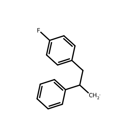 [CH2]C(Cc1ccc(F)cc1)c1ccccc1